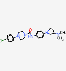 CN(C)C1CCN(c2ccc(NC(=O)N3CCN(c4ccc(Cl)cc4)CC3)cc2)C1